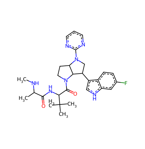 CNC(C)C(=O)NC(C(=O)N1CCC2C1C(c1c[nH]c3cc(F)ccc13)CN2c1ncccn1)C(C)(C)C